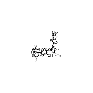 CC(=O)[O-].CC(O)C(=O)O.CCC(=O)[O-].O=C([O-])CC(O)(CC(=O)[O-])C(=O)O.[Na+].[Na+].[Na+].[Na+]